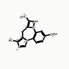 COc1ccc2c(c1)-n1[nH]c(C=O)c1Cc1c(C#N)ncn1-2